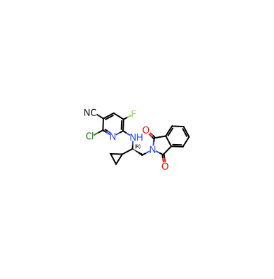 N#Cc1cc(F)c(N[C@@H](CN2C(=O)c3ccccc3C2=O)C2CC2)nc1Cl